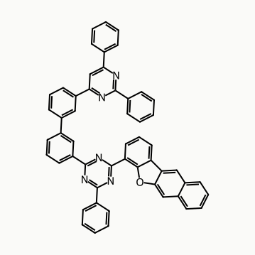 c1ccc(-c2cc(-c3cccc(-c4cccc(-c5nc(-c6ccccc6)nc(-c6cccc7c6oc6cc8ccccc8cc67)n5)c4)c3)nc(-c3ccccc3)n2)cc1